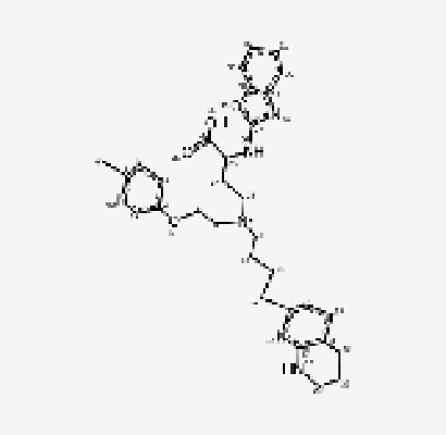 Cc1ccc(OCCN(CCCCc2ccc3c(n2)NCCC3)CCC(Nc2nc3ccccc3o2)C(=O)O)cn1